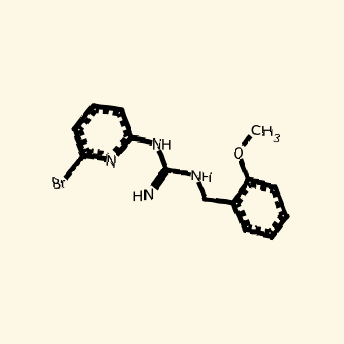 COc1ccccc1CNC(=N)Nc1cccc(Br)n1